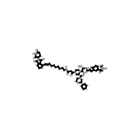 CC(C)(C)[C@H](NC(=O)c1cc2cc(C(F)(F)P(=O)(O)O)ccc2s1)C(=O)N1CCN(C(=O)CC(=O)NCCCCCCCCC#Cc2cccc3c2C(=O)N(C2CCC(=O)NC2=O)C3=O)C[C@H]1C(=O)N1CCO[C@H](c2ccccc2)C1